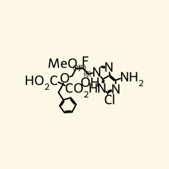 CO[C@H](COC(Cc1ccccc1)(C(=O)O)C(=O)O)[C@@H](F)[C@@H](O)n1cnc2c(N)nc(Cl)nc21